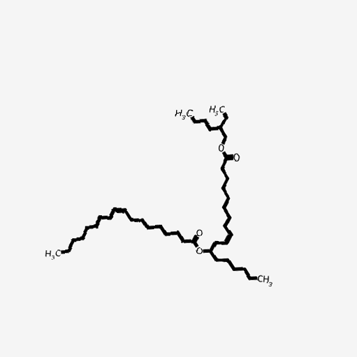 CCCCCCCC/C=C\CCCCCCCC(=O)OC(C/C=C\CCCCCCCC(=O)OCC(CC)CCCC)CCCCCC